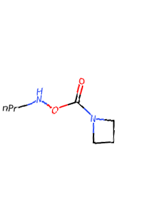 CCCNOC(=O)N1CCC1